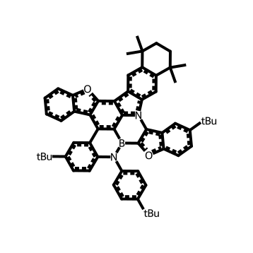 CC(C)(C)c1ccc(N2B3c4oc5ccc(C(C)(C)C)cc5c4-n4c5cc6c(cc5c5c7oc8ccccc8c7c(c3c54)-c3cc(C(C)(C)C)ccc32)C(C)(C)CCC6(C)C)cc1